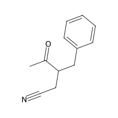 CC(=O)C(CC#N)Cc1ccccc1